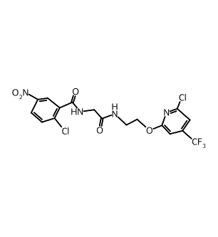 O=C(CNC(=O)c1cc([N+](=O)[O-])ccc1Cl)NCCOc1cc(C(F)(F)F)cc(Cl)n1